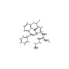 CC(Cc1cccc(C(=O)c2ccccc2)c1)c1cc(NC(N)=NCCO)on1